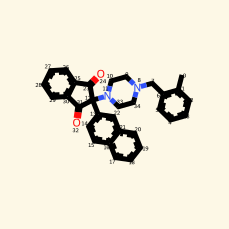 Cc1ccccc1CN1CCN(C2(c3ccc4ccccc4c3)C(=O)c3ccccc3C2=O)CC1